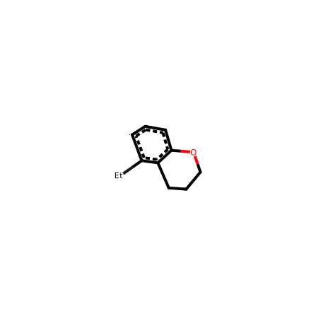 CCc1[c]ccc2c1CCCO2